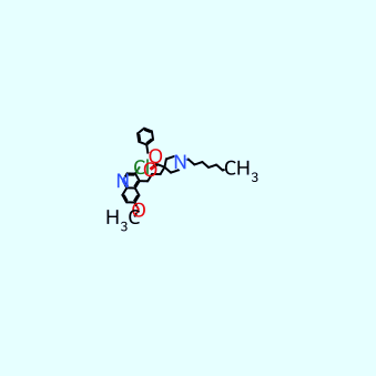 CCCCCCCN1CCC(CCCc2c(Cl)cnc3ccc(OC)cc23)(C(=O)OCc2ccccc2)CC1